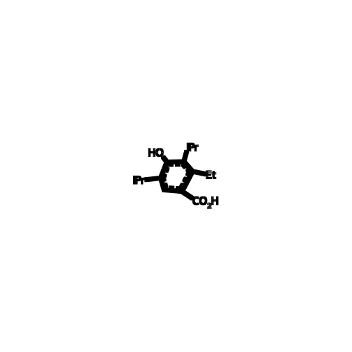 CCc1c(C(=O)O)cc(C(C)C)c(O)c1C(C)C